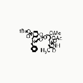 COC(COC(=O)OCCN(Cc1ccccc1)CC1CCCCN1C(=O)OC(C)(C)C)[C@@H](Cn1cc(C)c(=O)[nH]c1=O)OC(C)=O